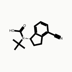 CC(C)(C)N(C(=O)O)[C@H]1CCc2c(C#N)cccc21